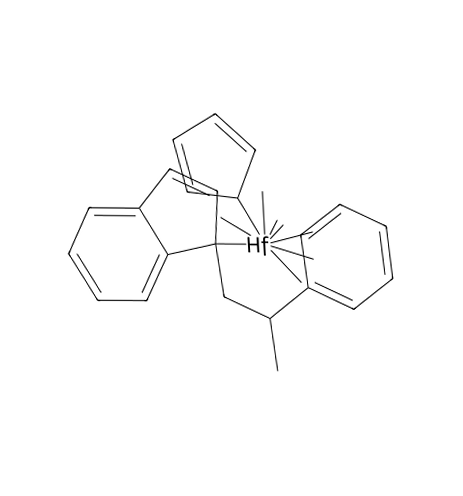 CC(C[C]1([Hf]([CH3])([CH3])([CH3])([CH3])([CH3])([CH3])([CH3])[CH]2C=CC=C2)C=Cc2ccccc21)c1ccccc1